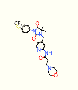 CC1(C)C(=O)N(c2ccc(SC(F)(F)F)cc2)C(=O)N1Cc1ccnc(NC(=O)CCN2CCOCC2)c1